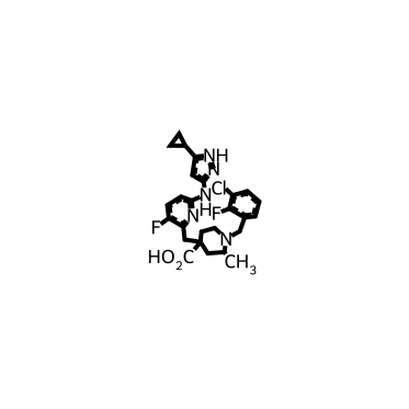 CC1CC(Cc2nc(Nc3cc(C4CC4)[nH]n3)ccc2F)(C(=O)O)CCN1Cc1cccc(Cl)c1F